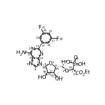 CCOC(=O)[C@@H](OC[C@H]1O[C@@H](n2cnc3c(N)nc(-c4cc(F)cc(F)c4)nc32)[C@H](O)[C@@H]1O)P(=O)(O)O